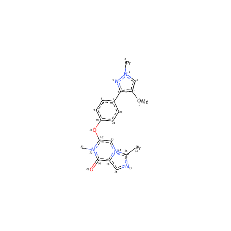 COc1cn(C(C)C)nc1-c1ccc(Oc2cn3c(C(C)C)ncc3c(=O)n2C)cc1